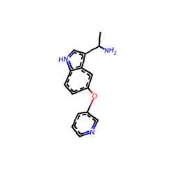 CC(N)c1c[nH]c2ccc(Oc3cccnc3)cc12